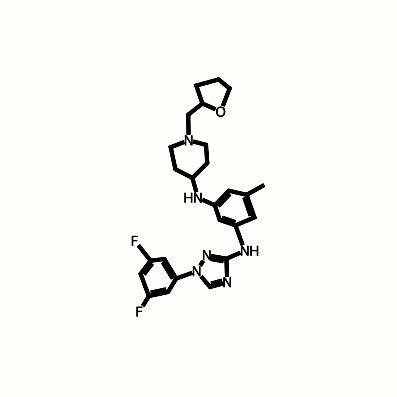 Cc1cc(Nc2ncn(-c3cc(F)cc(F)c3)n2)cc(NC2CCN(CC3CCCO3)CC2)c1